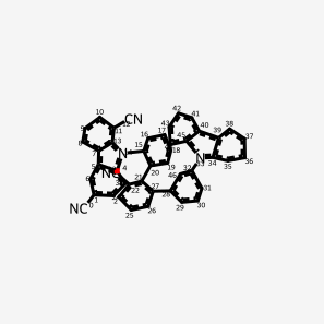 N#Cc1ccc2c(c1)c1cccc(C#N)c1n2-c1ccccc1-c1c(C#N)cccc1-c1cccc(-n2c3ccccc3c3ccccc32)c1